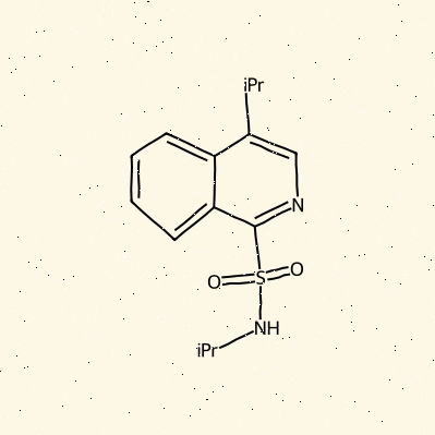 CC(C)NS(=O)(=O)c1ncc(C(C)C)c2ccccc12